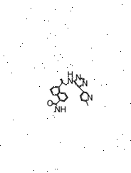 C=C(CNc1cc(-c2ccc(C)nc2)ncn1)c1cccc2c(C(=O)NC)cccc12